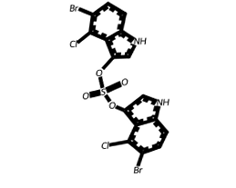 O=S(=O)(Oc1c[nH]c2ccc(Br)c(Cl)c12)Oc1c[nH]c2ccc(Br)c(Cl)c12